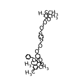 Cc1cc(C)c(C2=C(OCc3ccccc3)C3(CCC(OCCOCCN4CCN(CCOCCOCC(=O)OC(C)(C)C)CC4)CC3)OC2=O)c(C)c1